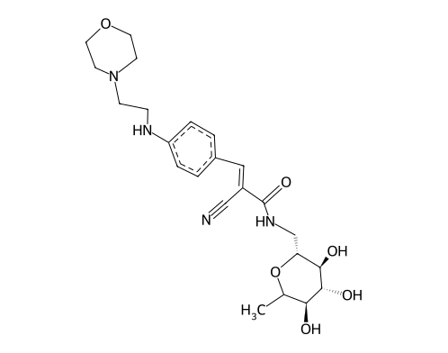 CC1O[C@H](CNC(=O)/C(C#N)=C/c2ccc(NCCN3CCOCC3)cc2)[C@@H](O)[C@H](O)[C@H]1O